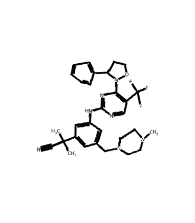 CN1CCN(Cc2cc(Nc3ncc(C(F)(F)F)c(N4OCCC4c4ccccc4)n3)cc(C(C)(C)C#N)c2)CC1